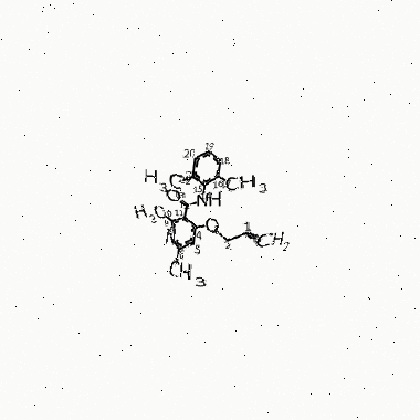 C=CCOc1cc(C)nc(C)c1C(=O)Nc1c(C)cccc1C